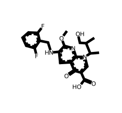 COc1nc2c(cc1NCc1c(F)cccc1F)c(=O)c(C(=O)O)cn2C(C)C(C)CO